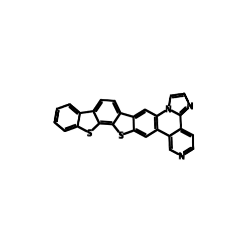 c1ccc2c(c1)sc1c2ccc2c3cc4c(cc3sc21)c1cnccc1c1nccn41